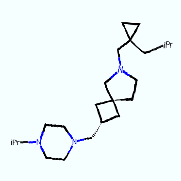 CC(C)CC1(CN2CC[C@]3(C2)C[C@@H](CN2CCN(C(C)C)CC2)C3)CC1